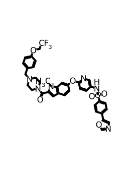 Cn1c(C(=O)N2CCN(Cc3ccc(OCC(F)(F)F)cc3)CC2)cc2ccc(Oc3ccc(NS(=O)(=O)c4ccc(-c5cnco5)cc4)cn3)cc21